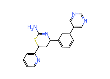 NC1=NC(c2cccc(-c3cncnc3)c2)CC(c2ccccn2)S1